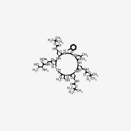 CC(C)C[C@@H]1NC(=O)[C@@H](Cc2ccccc2)NC(=O)[C@H](CCNC(=O)OC(C)(C)C)NC(=O)[C@@H](NC(=O)[C@@H](CO)NC(=O)[C@@H](N)[C@@H](C)O)CCNC(=O)[C@H]([C@@H](C)O)NC(=O)[C@H](CCNC(=O)OC(C)(C)C)NC(=O)[C@H](CCNC(=O)OC(C)(C)C)NC1=O